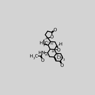 CC(=O)N[C@@H]1CC2=CC(=O)CC[C@]2(C)[C@@]23O[C@@H]2C[C@@]2(C)C(CC[C@@]24CCC(=O)O4)C13